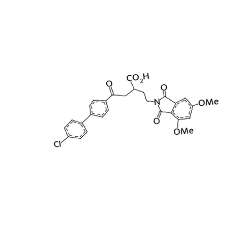 COc1cc(OC)c2c(c1)C(=O)N(CCC(CC(=O)c1ccc(-c3ccc(Cl)cc3)cc1)C(=O)O)C2=O